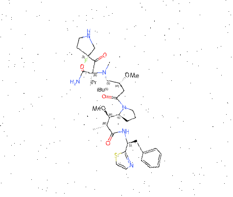 CC[C@H](C)[C@@H]([C@@H](CC(=O)N1CCC[C@H]1[C@H](OC)[C@@H](C)C(=O)N[C@@H](Cc1ccccc1)c1nccs1)OC)N(C)[C@@](C(N)=O)(C(=O)[C@@]1(F)CCNC1)C(C)C